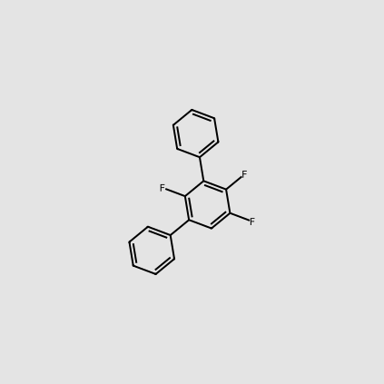 Fc1cc(-c2ccccc2)c(F)c(-c2ccccc2)c1F